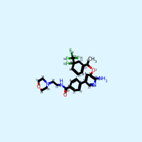 CC(Oc1cc(-c2ccc(C(=O)NCCN3CCOCC3)cc2)cnc1N)C1=CC=CC(F)(C(F)(F)F)C1